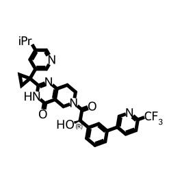 CC(C)c1cncc(C2(c3nc4c(c(=O)[nH]3)CN(C(=O)[C@H](O)c3cccc(-c5ccc(C(F)(F)F)nc5)c3)CC4)CC2)c1